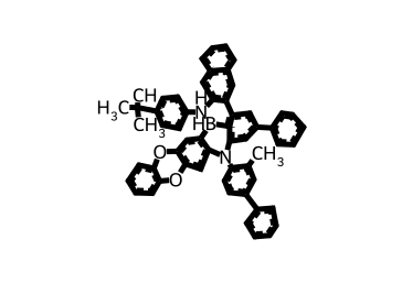 Cc1cc(-c2ccccc2)ccc1N1c2cc3c(cc2Bc2c(-c4cc5ccccc5cc4Nc4ccc(C(C)(C)C)cc4)cc(-c4ccccc4)cc21)Oc1ccccc1O3